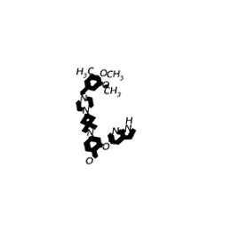 COc1cc(CN2CCN(C3CC4(C3)CN(c3ccc(C=O)c(Oc5cnc6[nH]ccc6c5)c3)C4)CC2)cc(C)c1OC